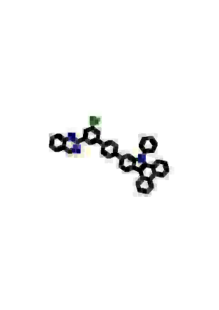 Brc1cc(-c2ccc(-c3ccc4c5c6ccccc6c6ccccc6c5n(-c5ccccc5)c4c3)cc2)cc(-c2ncc3ccccc3n2)c1